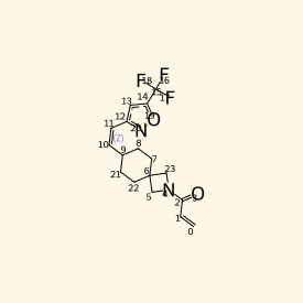 C=CC(=O)N1CC2(CCC(/C=C\c3cc(C(F)(F)F)on3)CC2)C1